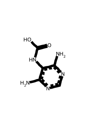 Nc1ncnc(N)c1NC(=O)O